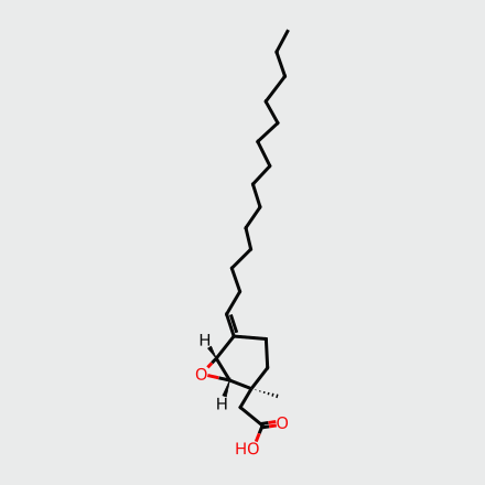 CCCCCCCCCCCCCC=C1CC[C@@](C)(CC(=O)O)[C@@H]2O[C@H]12